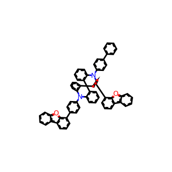 c1ccc(-c2ccc(N3c4ccccc4C4(c5ccccc5N(c5ccc(-c6cccc7c6oc6ccccc67)cc5)c5ccccc54)c4cc(-c5cccc6c5oc5ccccc56)ccc43)cc2)cc1